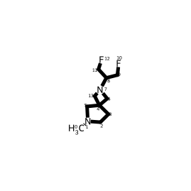 CN1CCC2(C1)CN(C(CF)CF)C2